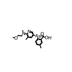 COCCN(C)c1ncc([AsH]c2ccc(C)cc2C(=O)O)cc1C